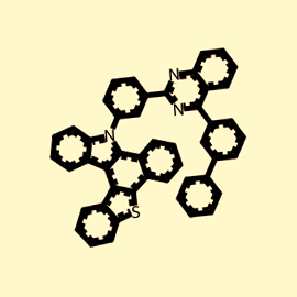 c1ccc(-c2cccc(-c3nc(-c4cccc(-n5c6ccccc6c6c7c8ccccc8sc7c7ccccc7c65)c4)nc4ccccc34)c2)cc1